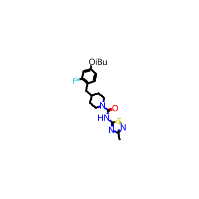 Cc1nsc(NC(=O)N2CCC(Cc3ccc(OCC(C)C)cc3F)CC2)n1